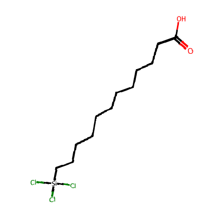 O=C(O)CCCCCCCCCCC[Si](Cl)(Cl)Cl